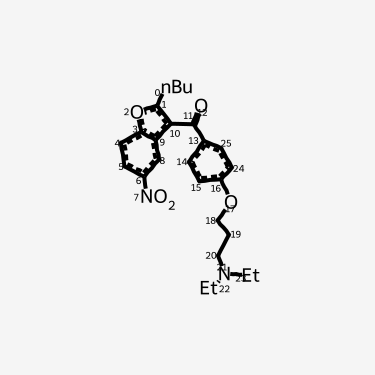 CCCCc1oc2ccc([N+](=O)[O-])cc2c1C(=O)c1ccc(OCCCN(CC)CC)cc1